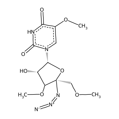 COC[C@@]1(N=[N+]=[N-])O[C@@H](n2cc(OC)c(=O)[nH]c2=O)[C@@H](O)C1OC